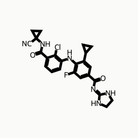 N#CC1(NC(=O)c2cccc(Nc3c(F)cc(C(=O)N=C4NCCN4)cc3C3CC3)c2Cl)CC1